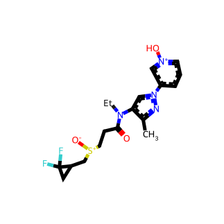 CCN(C(=O)CC[S+]([O-])CC1CC1(F)F)c1cn(-c2ccc[n+](O)c2)nc1C